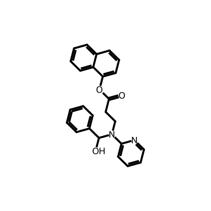 O=C(CCN(c1ccccn1)C(O)C1=CC=C=C=C1)Oc1cccc2ccccc12